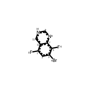 Fc1cc(Br)c(F)c2ncncc12